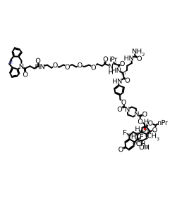 CCCC1O[C@@H]2C[C@H]3[C@@H]4C[C@H](F)C5=CC(=O)C=C[C@]5(C)[C@@]4(F)[C@@H](O)C[C@]3(C)[C@]2(C(=O)COC(=O)N2CCN(C(=O)OCc3ccc(NC(=O)[C@H](CCCNC(N)=O)NC(=O)[C@@H](NC(=O)CCOCCOCCOCCOCCNC(=O)CCC(=O)N4Cc5ccccc5/C=C\c5ccccc54)C(C)C)cc3)CC2)O1